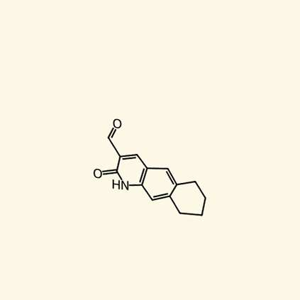 O=Cc1cc2cc3c(cc2[nH]c1=O)CCCC3